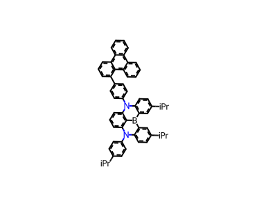 CC(C)c1ccc(N2c3ccc(C(C)C)cc3B3c4cc(C(C)C)ccc4N(c4ccc(-c5cccc6c7ccccc7c7ccccc7c56)cc4)c4cccc2c43)cc1